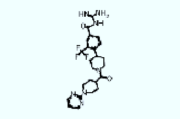 N=C(N)NC(=O)c1ccc(C2CCN(C(=O)C3CCN(c4ncccn4)CC3)CC2)c(C(F)(F)F)c1